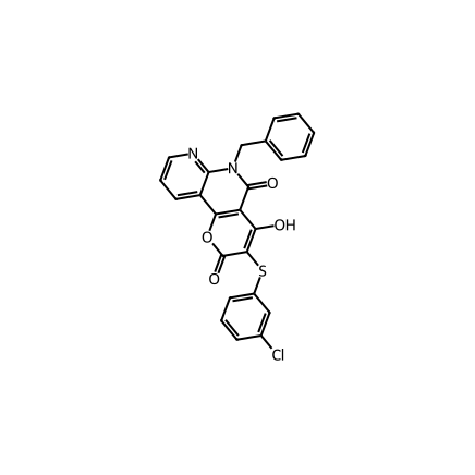 O=c1oc2c(c(O)c1Sc1cccc(Cl)c1)c(=O)n(Cc1ccccc1)c1ncccc21